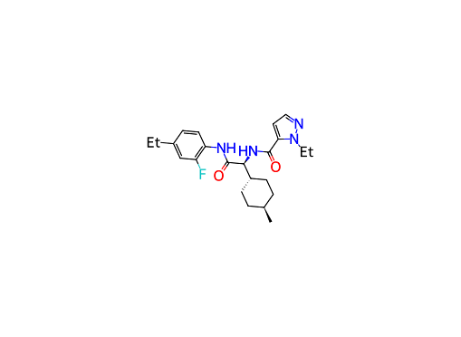 CCc1ccc(NC(=O)[C@@H](NC(=O)c2ccnn2CC)[C@H]2CC[C@H](C)CC2)c(F)c1